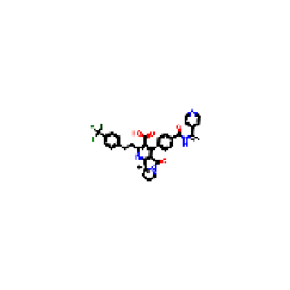 C[C@@H](NC(=O)c1ccc(-c2c(C(=O)O)c(CCc3ccc(C(F)(F)F)cc3)nc3c2C(=O)N2CCC[C@@H]32)cc1)c1ccncc1